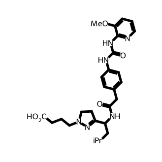 COc1cccnc1NC(=O)Nc1ccc(CC(=O)NC(CC(C)C)C2=NN(CCCC(=O)O)CC2)cc1